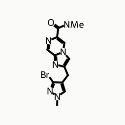 CNC(=O)c1cn2cc(Cc3cn(C)nc3Br)nc2cn1